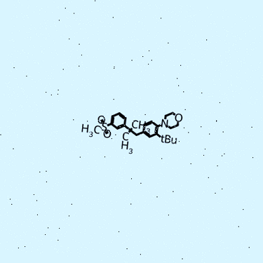 CC(C)(C)c1cc(CC(C)(C)c2cccc(S(C)(=O)=O)c2)ccc1N1CCOCC1